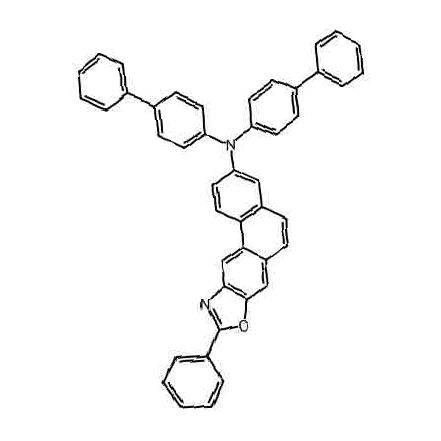 c1ccc(-c2ccc(N(c3ccc(-c4ccccc4)cc3)c3ccc4c(ccc5cc6oc(-c7ccccc7)nc6cc54)c3)cc2)cc1